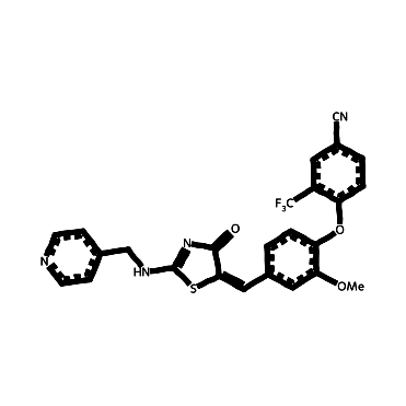 COc1cc(/C=C2/SC(NCc3ccncc3)=NC2=O)ccc1Oc1ccc(C#N)cc1C(F)(F)F